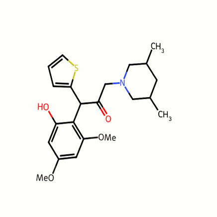 COc1cc(O)c(C(C(=O)CN2CC(C)CC(C)C2)c2cccs2)c(OC)c1